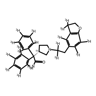 [2H]c1c([2H])c([2H])c(C(C(N)=O)(c2c([2H])c([2H])c([2H])c([2H])c2[2H])[C@@H]2CCN(C([2H])([2H])Cc3c([2H])c([2H])c4c(c3[2H])C([2H])([2H])CO4)C2)c([2H])c1[2H]